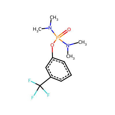 CN(C)P(=O)(Oc1cccc(C(F)(F)F)c1)N(C)C